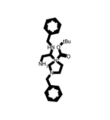 CC(C)(C)OC(=O)[N+]1(C(CN)NCc2ccccc2)CCN(Cc2ccccc2)C1